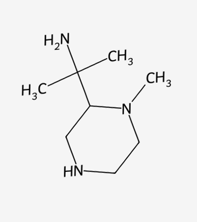 CN1CCNCC1C(C)(C)N